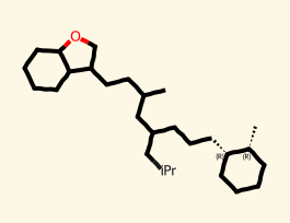 CC(C)CC(CCC[C@H]1CCCC[C@H]1C)CC(C)CCC1COC2CCCCC12